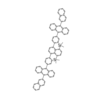 C[Si]1(C)c2cc(-c3c4ccccc4c(-c4ccc5ccccc5c4)c4ccccc34)ccc2-c2ccc3c4c(ccc1c24)[Si](C)(C)c1cc(-c2c4ccccc4c(-c4ccc5ccccc5c4)c4ccccc24)ccc1-3